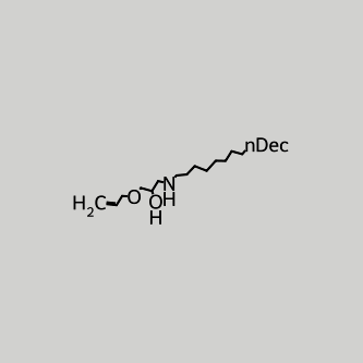 C=CCOCC(O)CNCCCCCCCCCCCCCCCCCC